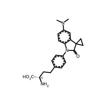 CN(C)c1ccc2c(c1)C1(CC1)C(=O)N2c1ccc(CC[C@H](N)C(=O)O)cc1